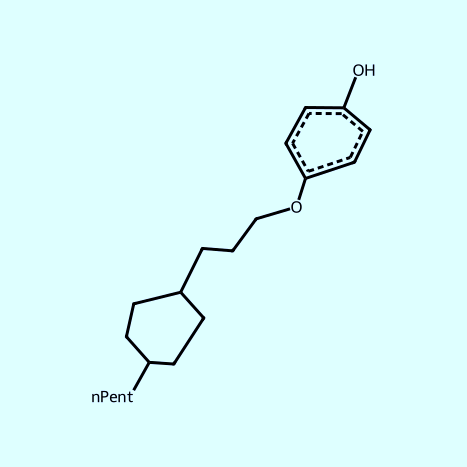 CCCCCC1CCC(CCCOc2ccc(O)cc2)CC1